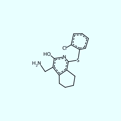 NCc1c(O)nc(Sc2ccccc2Cl)c2c1CCCC2